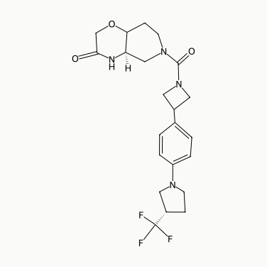 O=C1COC2CCN(C(=O)N3CC(c4ccc(N5CC[C@H](C(F)(F)F)C5)cc4)C3)C[C@H]2N1